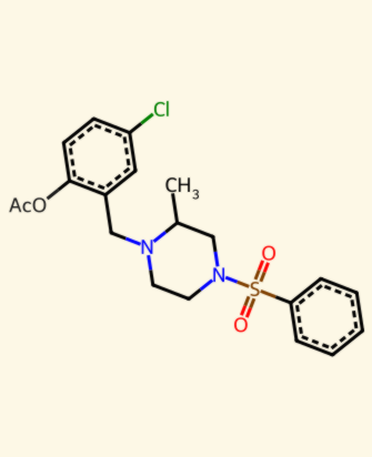 CC(=O)Oc1ccc(Cl)cc1CN1CCN(S(=O)(=O)c2ccccc2)CC1C